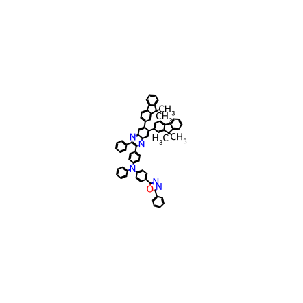 CC1(C)c2ccccc2-c2ccc(-c3cc4nc(-c5ccccc5)c(-c5ccc(N(c6ccccc6)c6ccc(-c7nnc(-c8ccccc8)o7)cc6)cc5)nc4cc3-c3ccc4c(c3)C(C)(C)c3ccccc3-4)cc21